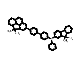 CC1(C)c2ccccc2-c2ccc(N(c3ccccc3)c3ccc(-c4ccc(-c5cc6c7c(ccc8cccc(c87)C6(C)C)c5)cc4)cc3)cc21